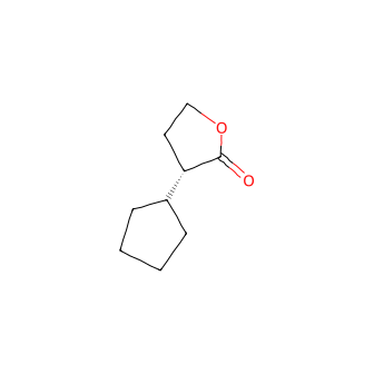 O=C1OCC[C@H]1C1CCCC1